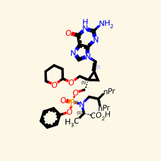 CCCC(CCC)CN([C@@H](C)C(=O)O)[P@](=O)(OC[C@@]1(COC2CCCCO2)C/C1=C/n1cnc2c(=O)[nH]c(N)nc21)Oc1ccccc1